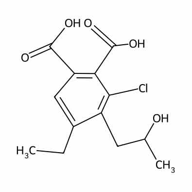 CCc1cc(C(=O)O)c(C(=O)O)c(Cl)c1CC(C)O